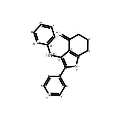 O=C1CCCc2[nH]c(-c3ccncc3)c(Nc3ccccn3)c21